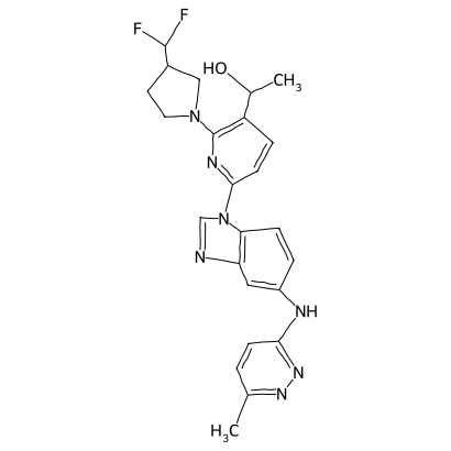 Cc1ccc(Nc2ccc3c(c2)ncn3-c2ccc(C(C)O)c(N3CCC(C(F)F)C3)n2)nn1